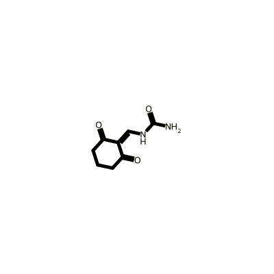 NC(=O)NC=C1C(=O)CCCC1=O